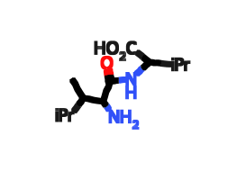 CC(C)C(NC(=O)C(N)C(C)C(C)C)C(=O)O